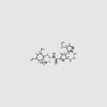 NC[C@H](Cc1ccc(F)cc1F)NC(=O)c1cc2c(s1)CCCn1ncc(CI)c1-2